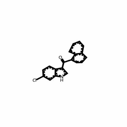 O=C(c1cccc2ccccc12)c1c[nH]c2cc(Cl)ccc12